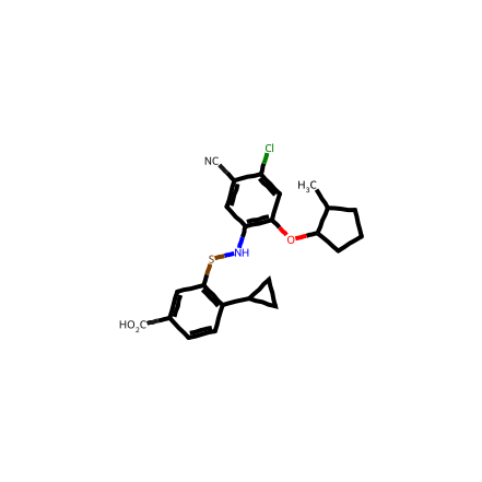 CC1CCCC1Oc1cc(Cl)c(C#N)cc1NSc1cc(C(=O)O)ccc1C1CC1